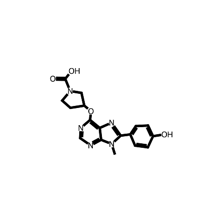 Cn1c(-c2ccc(O)cc2)nc2c(OC3CCN(C(=O)O)C3)ncnc21